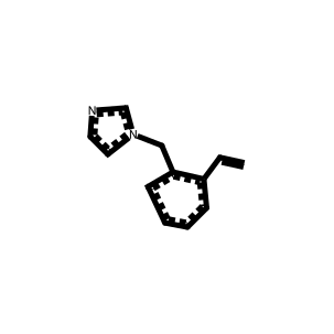 C=Cc1ccccc1Cn1ccnc1